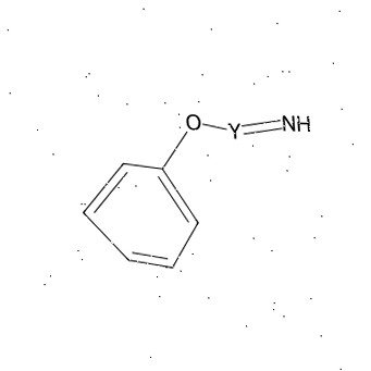 [NH]=[Y][O]c1ccccc1